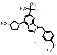 COc1ccc(Cn2nnc3c(N4CC[C@H](O)C4)nc(C(C)(C)C)nc32)cc1